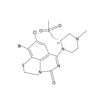 CN1CCN(c2nc(=O)n3c4c(c(Br)c(Cl)cc24)SCC3)[C@H](CS(C)(=O)=O)C1